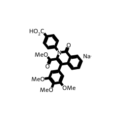 COC(=O)c1c(-c2cc(OC)c(OC)c(OC)c2)c2ccccc2c(=O)n1-c1ccc(C(=O)O)cc1.[Na]